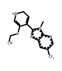 Cn1c(C2=CCNC=C2SCC#N)nc2cc(C(F)(F)F)cnc21